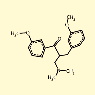 COc1cccc(CC(CN(C)C)C(=O)c2cccc(OC)c2)c1